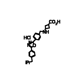 CC(C)Cc1ccc(-c2nnc(-c3ccc(CNC4CC(C(=O)O)C4)cc3)o2)cc1.Cl